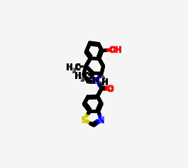 CC1(C)[C@H]2Cc3c(O)cccc3[C@]1(C)CCN2C(=O)c1ccc2scnc2c1